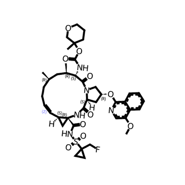 COc1cnc(O[C@@H]2C[C@H]3C(=O)N[C@]4(C(=O)NS(=O)(=O)C5(CF)CC5)C[C@H]4/C=C\CC[C@@H](C)C[C@@H](C)[C@H](NC(=O)OC4(C)CCCOC4)C(=O)N3C2)c2ccccc12